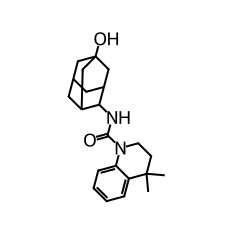 CC1(C)CCN(C(=O)NC2C3CC4CC2CC(O)(C4)C3)c2ccccc21